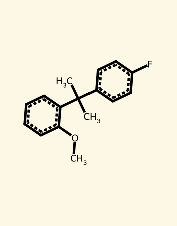 COc1ccccc1C(C)(C)c1ccc(F)cc1